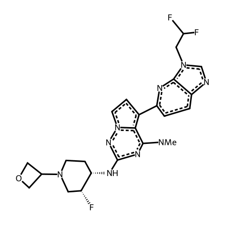 CNc1nc(N[C@H]2CCN(C3COC3)C[C@H]2F)nn2ccc(-c3ccc4ncn(CC(F)F)c4n3)c12